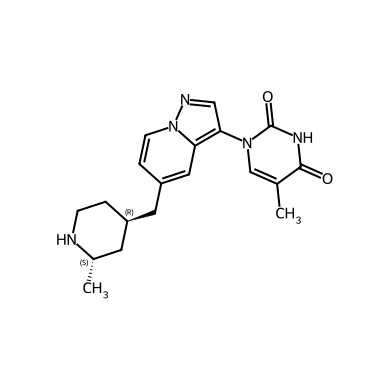 Cc1cn(-c2cnn3ccc(C[C@@H]4CCN[C@@H](C)C4)cc23)c(=O)[nH]c1=O